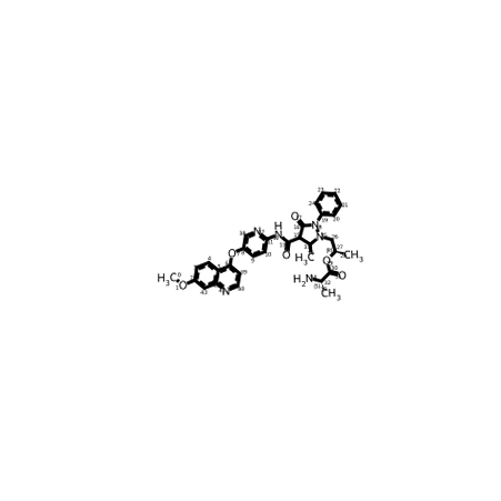 COc1ccc2c(Oc3ccc(NC(=O)C4C(=O)N(c5ccccc5)N(C[C@@H](C)OC(=O)[C@H](C)N)C4C)nc3)ccnc2c1